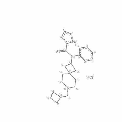 Cl.O=C(c1ccc[nH]1)N(c1ccccc1)C1CC2(CCN(CC3CCC3)CC2)C1